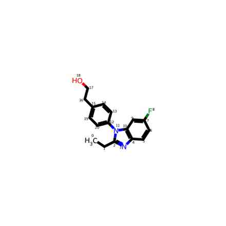 CCc1nc2ccc(F)cc2n1-c1ccc(CCO)cc1